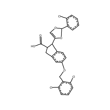 O=C(O)C1Cc2cc(OCc3c(Cl)cccc3Cl)ccc2C1C1=COC(c2ccccc2Cl)O1